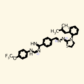 CC(C)=Cc1ccccc1N1CCS/C1=N\N=C\c1ccc(C(=N)/N=C\Nc2ccc(OC(F)(F)F)cc2)cc1